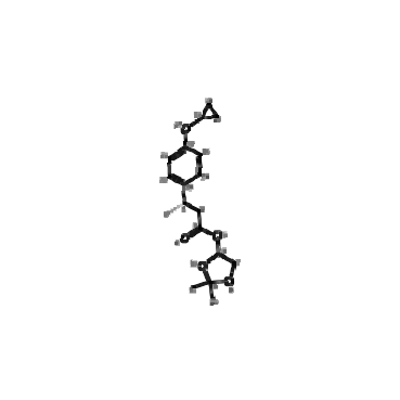 C[C@@H](CC(=O)O[C]1COC(C)(C)O1)c1ccc(OC2CC2)cc1